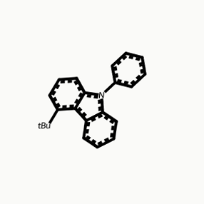 CC(C)(C)c1cccc2c1c1ccccc1n2-c1ccccc1